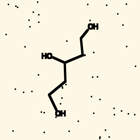 OC[CH]C(O)CCO